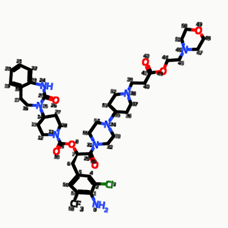 Nc1c(Cl)cc(C[C@@H](OC(=O)N2CCC(N3CCc4ccccc4NC3=O)CC2)C(=O)N2CCN(C3CCN(CCC(=O)OCCN4CCOCC4)CC3)CC2)cc1C(F)(F)F